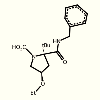 CCO[C@H]1CN(C(=O)O)[C@](C(=O)NCc2ccccc2)(C(C)(C)C)C1